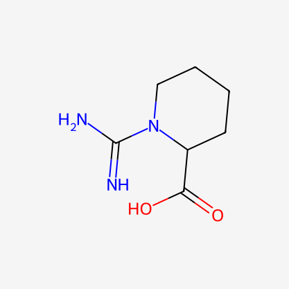 N=C(N)N1CCCCC1C(=O)O